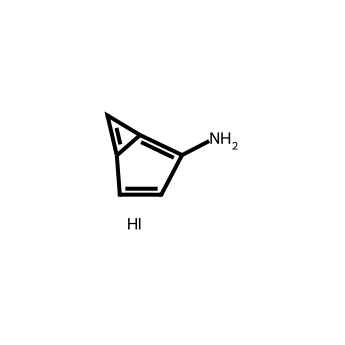 I.Nc1ccc2cc1-2